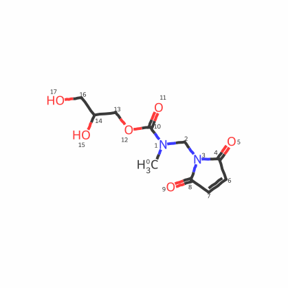 CN(CN1C(=O)C=CC1=O)C(=O)OCC(O)CO